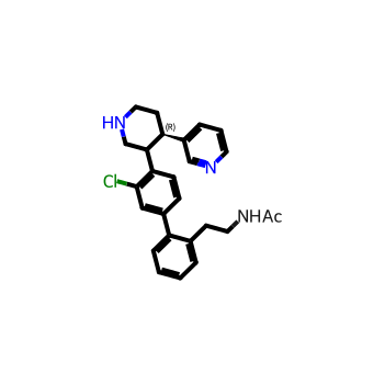 CC(=O)NCCc1ccccc1-c1ccc(C2CNCC[C@H]2c2cccnc2)c(Cl)c1